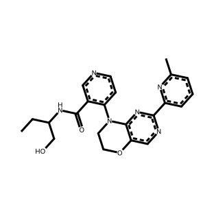 CCC(CO)NC(=O)c1cnccc1N1CCOc2cnc(-c3cccc(C)n3)nc21